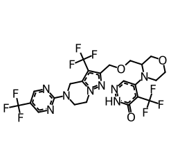 O=c1[nH]ncc(N2CCOCC2COCc2nn3c(c2C(F)(F)F)CN(c2ncc(C(F)(F)F)cn2)CC3)c1C(F)(F)F